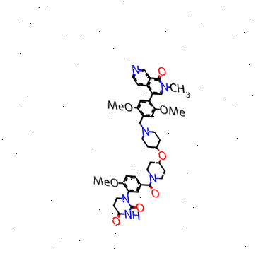 COc1cc(-c2cn(C)c(=O)c3cnccc23)c(OC)cc1CN1CCC(OC2CCN(C(=O)c3ccc(OC)c(N4CCC(=O)NC4=O)c3)CC2)CC1